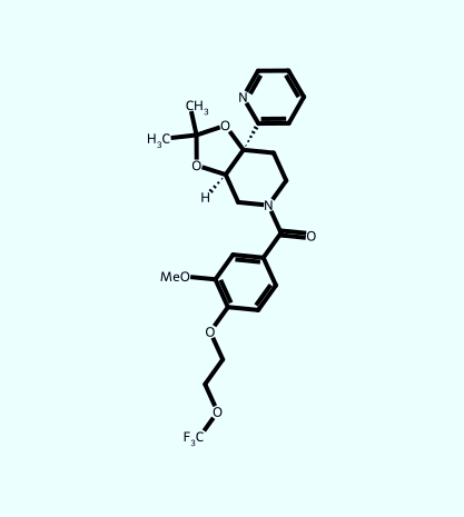 COc1cc(C(=O)N2CC[C@]3(c4ccccn4)OC(C)(C)O[C@@H]3C2)ccc1OCCOC(F)(F)F